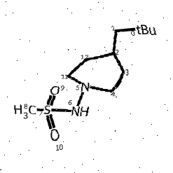 CC(C)(C)CC1CCN(NS(C)(=O)=O)CC1